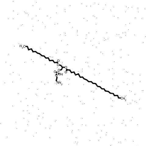 CCCCCCCCCCCCCCCCCCCCCCCCCC(=O)OC(COC(=O)CCCCCCCCCCCCCCC)COP(=O)(O)OCCN